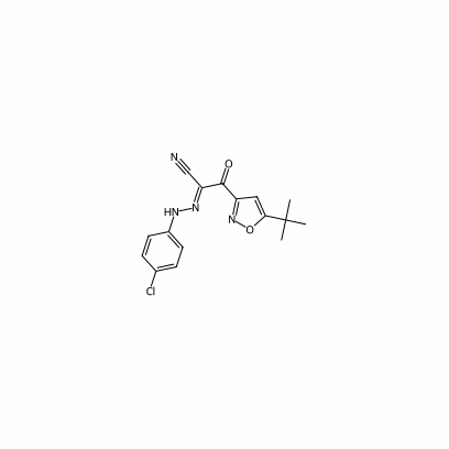 CC(C)(C)c1cc(C(=O)/C(C#N)=N/Nc2ccc(Cl)cc2)no1